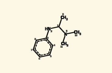 CC(Nc1ccccc1)N(C)C